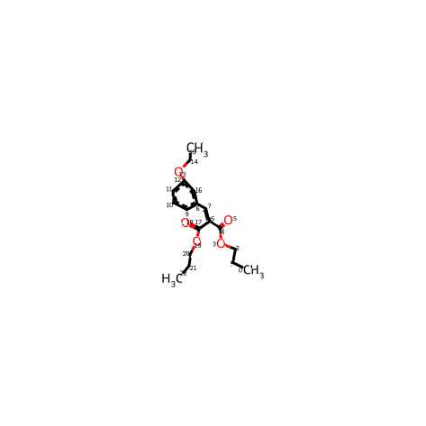 CCCOC(=O)C(=Cc1cccc(OCC)c1)C(=O)OCCC